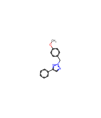 COc1ccc(Cn2ncc(-c3ccccc3)n2)cc1